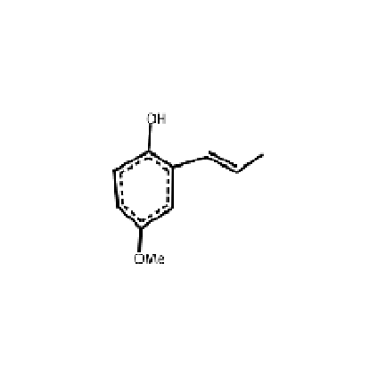 CC=Cc1cc(OC)ccc1O